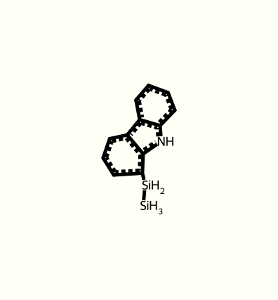 [SiH3][SiH2]c1cccc2c1[nH]c1ccccc12